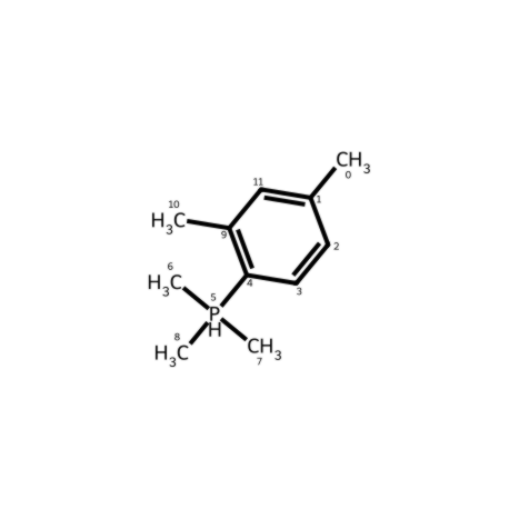 Cc1ccc([PH](C)(C)C)c(C)c1